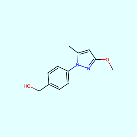 COc1cc(C)n(-c2ccc(CO)cc2)n1